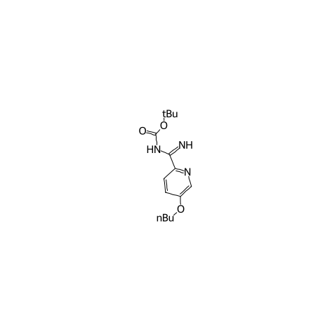 CCCCOc1ccc(C(=N)NC(=O)OC(C)(C)C)nc1